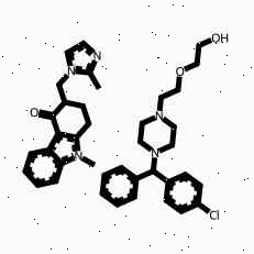 Cc1nccn1CC1CCc2c(c3ccccc3n2C)C1=O.OCCOCCN1CCN(C(c2ccccc2)c2ccc(Cl)cc2)CC1